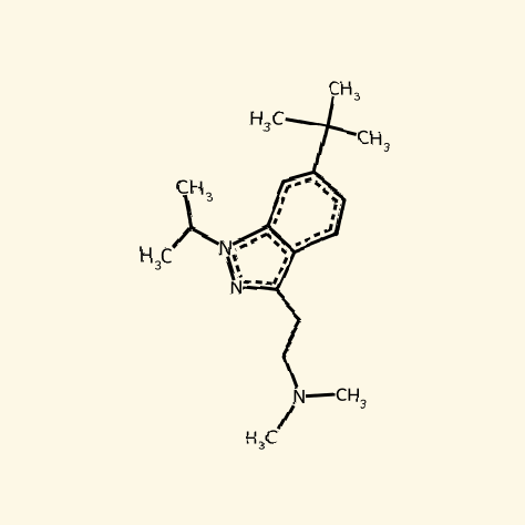 CC(C)n1nc(CCN(C)C)c2ccc(C(C)(C)C)cc21